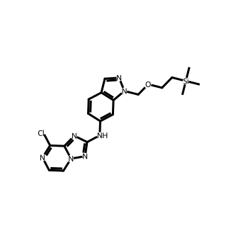 C[Si](C)(C)CCOCn1ncc2ccc(Nc3nc4c(Cl)nccn4n3)cc21